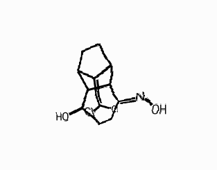 O/N=C1\CCC(O)C2C3CCC(C3=C(Cl)Cl)C12